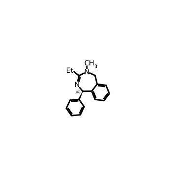 CCC1=N[C@H](c2ccccc2)c2ccccc2CN1C